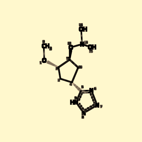 CO[C@H]1C[C@@H](c2nnn[nH]2)C[C@@H]1ON(O)O